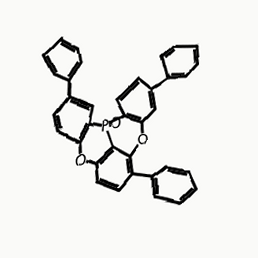 O=P12c3cc(-c4ccccc4)ccc3Oc3ccc(-c4ccccc4)c(c31)Oc1cc(-c3ccccc3)ccc12